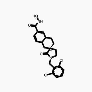 O=C(NO)C1=CC2CC[C@]3(CCN(Cc4c(Cl)cccc4Cl)C3=O)CC2C=C1